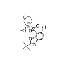 CO[C@H]1COCC[C@@H]1S(=O)(=O)c1c(Cl)ccc2nc(C(C)(C)C)oc12